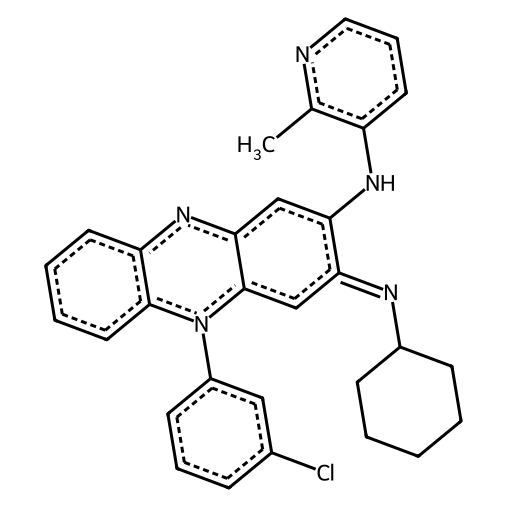 Cc1ncccc1Nc1cc2nc3ccccc3n(-c3cccc(Cl)c3)c-2c/c1=N\C1CCCCC1